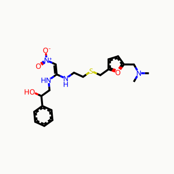 CN(C)Cc1ccc(CSCCN/C(=C/[N+](=O)[O-])NCC(O)c2ccccc2)o1